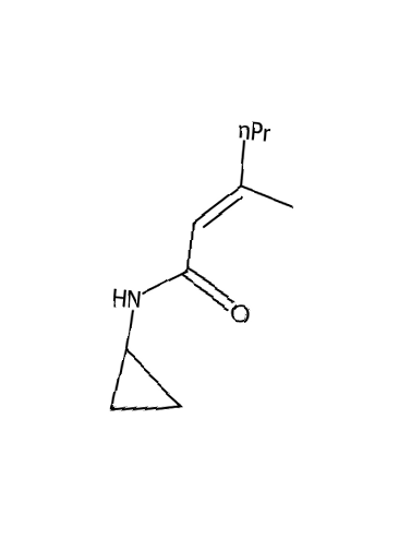 CCC/C(C)=C/C(=O)NC1CC1